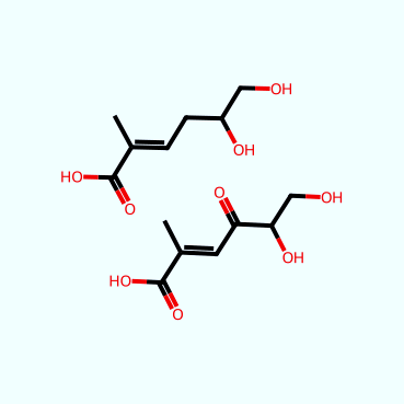 C/C(=C\C(=O)C(O)CO)C(=O)O.C/C(=C\CC(O)CO)C(=O)O